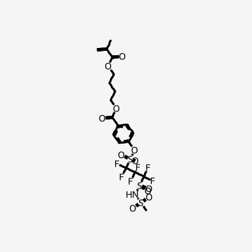 C=C(C)C(=O)OCCCCOC(=O)c1ccc(OS(=O)(=O)C(F)(F)C(F)(F)C(F)(F)S(=O)(=O)NS(C)(=O)=O)cc1